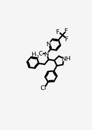 CN(c1ccc(C(F)(F)F)cn1)C(Cc1ccccc1)C1CNCC1c1ccc(Cl)cc1